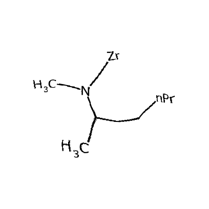 CCCCC(C)[N](C)[Zr]